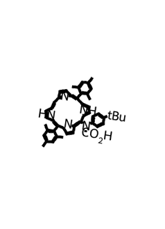 Cc1cc(C)c(-c2c3nc(c(N(C(=O)O)c4ccc(C(C)(C)C)cc4)c4ccc([nH]4)c(-c4c(C)cc(C)cc4C)c4nc(cc5ccc2[nH]5)C=C4)C=C3)c(C)c1